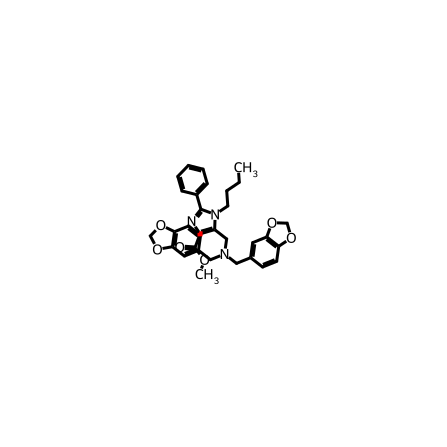 CCCCn1c(-c2ccccc2)nc(C(=O)OC)c1CN(Cc1ccc2c(c1)OCO2)Cc1ccc2c(c1)OCO2